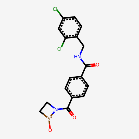 O=C(NCc1ccc(Cl)cc1Cl)c1ccc(C(=O)N2CC[S+]2[O-])cc1